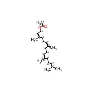 CC(=O)OCC=C(C)CCC=C(C)CCC=C(C)CCC=C(C)C